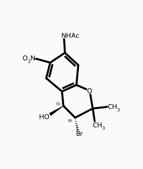 CC(=O)Nc1cc2c(cc1[N+](=O)[O-])[C@H](O)[C@@H](Br)C(C)(C)O2